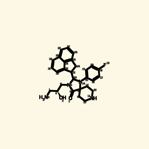 NC[C@@H](O)CN1C(=O)C2(CCNCC2)N(c2ccc(F)cc2)C1C1Cc2cccc3cccc1c23